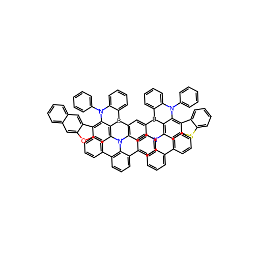 c1ccc(-c2ccccc2N2c3cc4c(cc3B3c5ccccc5N(c5ccccc5)c5c3c2cc2sc3ccccc3c52)B2c3ccccc3N(c3ccccc3)c3c2c(cc2oc5cc6ccccc6cc5c32)N4c2c(-c3ccccc3)cccc2-c2ccccc2)cc1